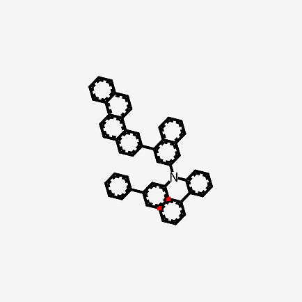 c1ccc(-c2cccc(N(c3cc(-c4ccc5ccc6c7ccccc7ccc6c5c4)c4ccccc4c3)c3ccccc3-c3ccccc3)c2)cc1